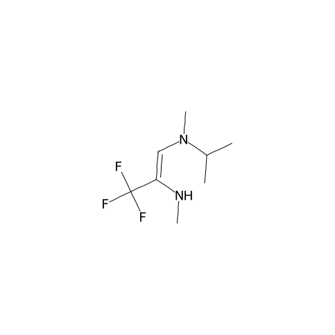 CN/C(=C\N(C)C(C)C)C(F)(F)F